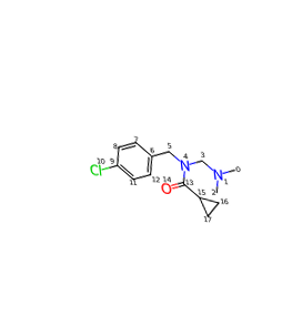 CN(C)CN(Cc1ccc(Cl)cc1)C(=O)C1CC1